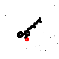 CC(C)=CCC/C(C)=C/CCC1=CC=C(C=O)C(c2ccccc2)C1